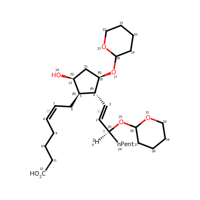 [2H][C@@](/C=C/[C@@H]1[C@@H](C/C=C\CCCC(=O)O)[C@@H](O)C[C@H]1OC1CCCCO1)(CCCCC)OC1CCCCO1